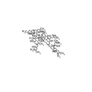 CC(N)CC(O)CN(CC(O)CC(C)N)C(C)CC(O)CN(CCCCCCN(CC(O)CC(C)N(CC(O)CC(C)N)CC(O)CC(C)N)CC(O)CC(C)N(CC(O)CC(C)N)CC(O)CC(C)N)CC(O)CC(C)N(CC(O)CC(C)N)CC(O)CC(C)N